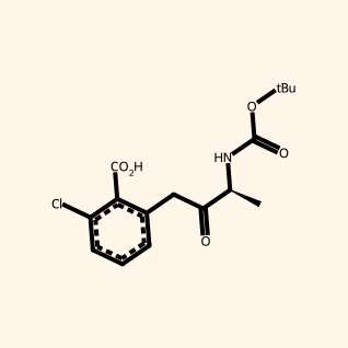 C[C@H](NC(=O)OC(C)(C)C)C(=O)Cc1cccc(Cl)c1C(=O)O